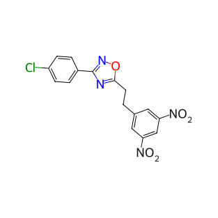 O=[N+]([O-])c1cc(CCc2nc(-c3ccc(Cl)cc3)no2)cc([N+](=O)[O-])c1